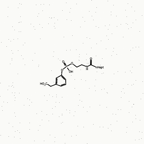 CCCCCCCC(=O)NCCOP(=O)(O)Oc1cccc(CC(=O)O)c1